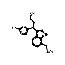 CSCc1cccc2c(C(CCC#N)c3cnc(Br)s3)c[nH]c12